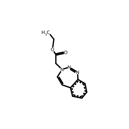 CCOC(=O)CN1C=Cc2ccccc2N=N1